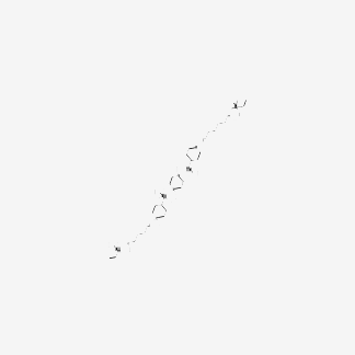 C=CC(=O)OCCCCCCOc1ccc(C(=O)Oc2ccc(OC(=O)c3ccc(OCCCCCOC(=O)C=C)cc3)cc2)cc1